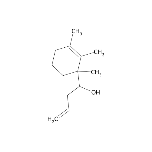 C=CCC(O)C1(C)CCCC(C)=C1C